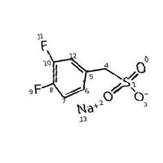 O=S(=O)([O-])Cc1ccc(F)c(F)c1.[Na+]